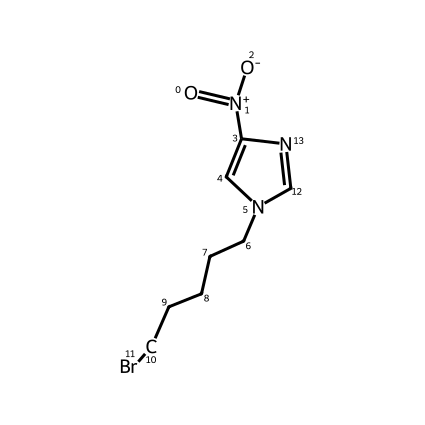 O=[N+]([O-])c1cn(CCCCCBr)cn1